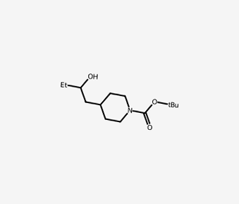 CCC(O)CC1CCN(C(=O)OC(C)(C)C)CC1